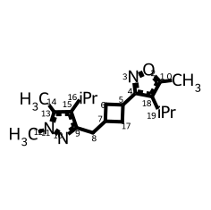 Cc1onc(C2CC(Cc3nn(C)c(C)c3C(C)C)C2)c1C(C)C